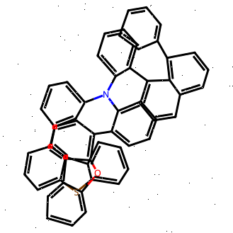 c1ccc(-c2cccc3cccc(-c4ccccc4N(c4cccc(-c5cccc6sc7ccccc7c56)c4)c4ccccc4-c4cccc5c4oc4ccccc45)c23)cc1